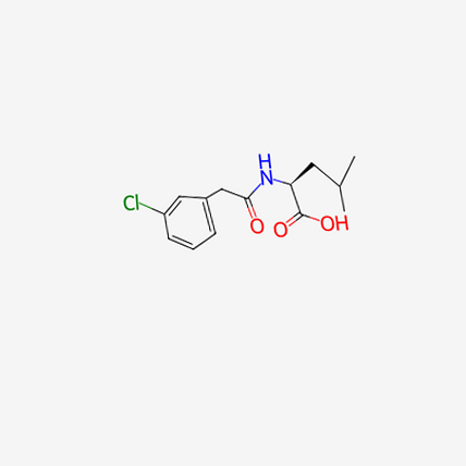 CC(C)C[C@H](NC(=O)Cc1cccc(Cl)c1)C(=O)O